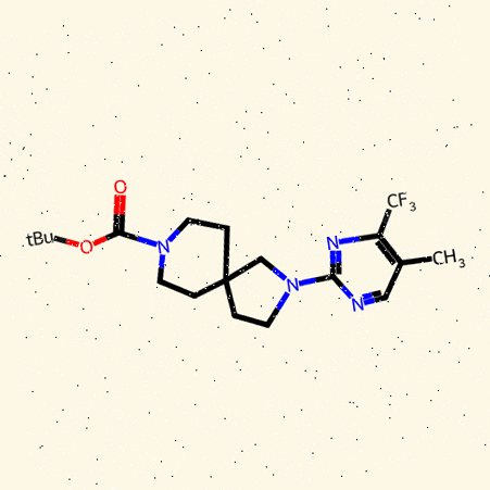 Cc1cnc(N2CCC3(CCN(C(=O)OC(C)(C)C)CC3)C2)nc1C(F)(F)F